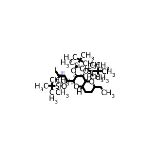 CCC1CC[C@@H]2O[C@@H]([C@H](/C=C/I)O[Si](C)(C)C(C)(C)C)[C@@H](O[Si](C)(C)C(C)(C)C)[C@@H](O[Si](C)(C)C(C)(C)C)[C@H]2O1